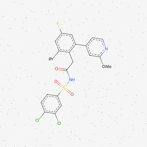 COc1cc(-c2cc(F)cc(C(C)C)c2CC(=O)NS(=O)(=O)c2ccc(Cl)c(Cl)c2)ccn1